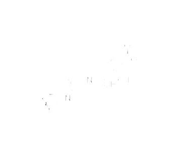 Cc1c([C@@H](O)CN2CCC3(CC2)CCN(c2ccnnc2)C3=O)ccc2c1COC2=O